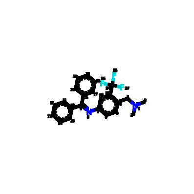 CN(C)Cc1ccc(N=C(c2ccccc2)c2ccccc2)cc1C(F)(F)F